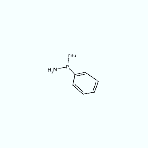 CCCC[P@@](N)c1ccccc1